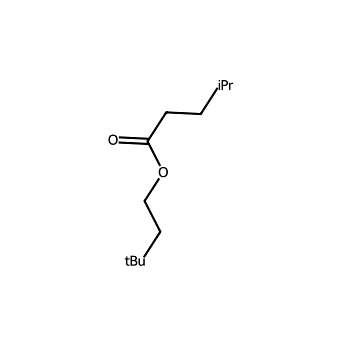 CC(C)CCC(=O)OCCC(C)(C)C